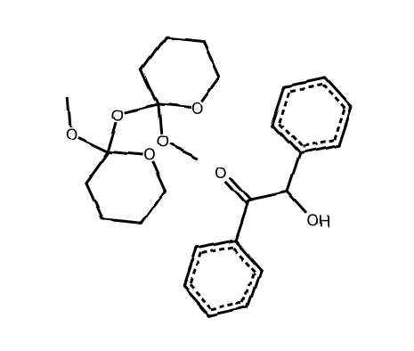 COC1(OC2(OC)CCCCO2)CCCCO1.O=C(c1ccccc1)C(O)c1ccccc1